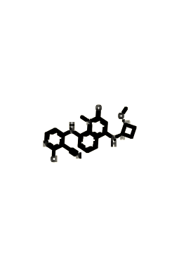 CO[C@@H]1CC[C@H]1Nc1cc(=O)n(C)c2c(Nc3ccnc(Cl)c3C#N)cccc12